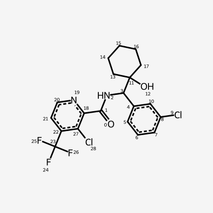 O=C(NC(c1cccc(Cl)c1)C1(O)CCCCC1)c1nccc(C(F)(F)F)c1Cl